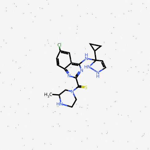 CC1CN(C(=S)c2nc(NC3(C4CC4)C=CNN3)c3cc(Cl)ccc3n2)CCN1